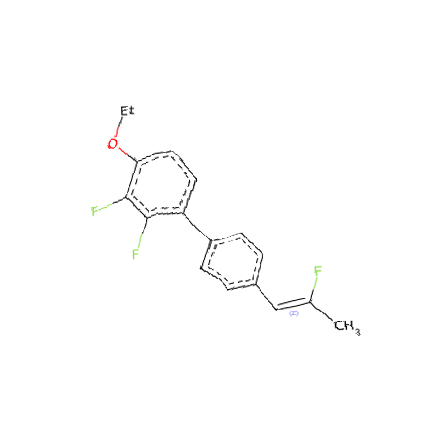 CCOc1ccc(-c2ccc(/C=C(/C)F)cc2)c(F)c1F